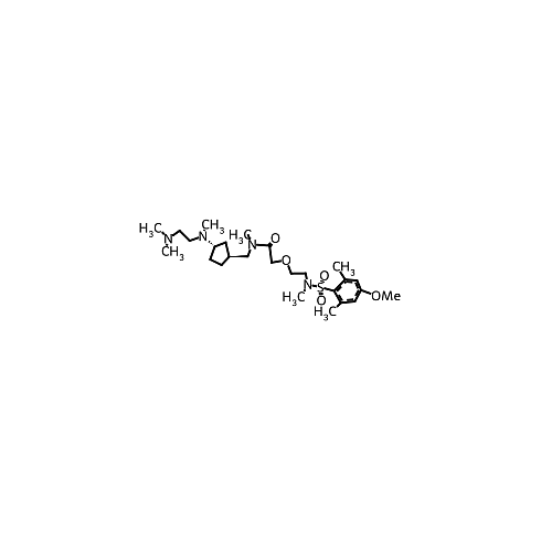 COc1cc(C)c(S(=O)(=O)N(C)CCOCC(=O)N(C)C[C@H]2CC[C@H](N(C)CCN(C)C)C2)c(C)c1